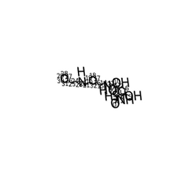 O=c1[nH]c2c(O)ccc(C(O)(O)CNCCc3cccc(CNCCCc4ccccc4)c3)c2s1